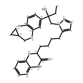 CCC(O)(Cn1nncc1CCCCC1Oc2cccnc2NC1=O)c1ccc(F)c(OCC2CC2)c1